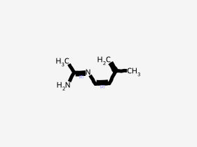 C=C(C)/C=C\N=C(\C)N